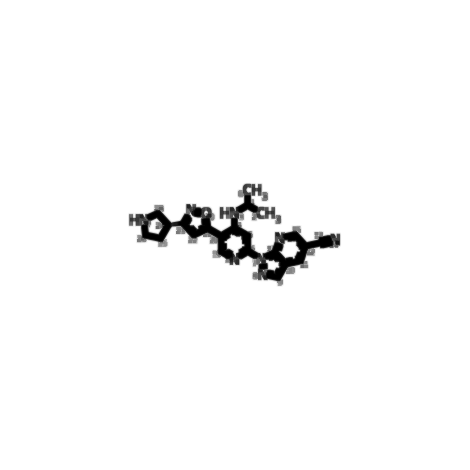 CC(C)Nc1cc(-n2ncc3cc(C#N)cnc32)ncc1-c1cc([C@H]2CCNC2)no1